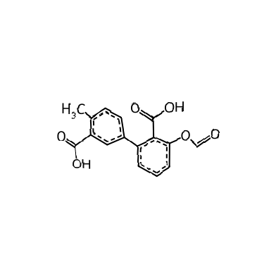 Cc1ccc(-c2cccc(OC=O)c2C(=O)O)cc1C(=O)O